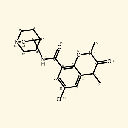 CC1C(=O)N(C)Oc2c(C(=O)NC3CN4CCC3CC4)cc(Cl)cc21